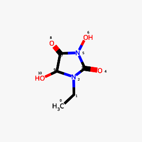 CCN1C(=O)N(O)C(=O)C1O